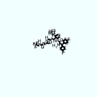 Cl.Cl.Cl.N[C@H](C(=O)Nc1cncc(F)c1CC[C@@H]1CN[C@H](COC(=O)NCC(F)(F)F)CO1)C(c1ccc(F)cc1)c1ccc(F)cc1